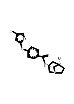 O=C(N[C@@H]1C[C@H]2CCN(C2)C1)c1ccc(Oc2cc(Cl)co2)cc1